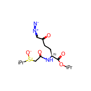 CC(C)OC(=O)[C@H](CCC(=O)C=[N+]=[N-])NC(=O)C[S+]([O-])C(C)C